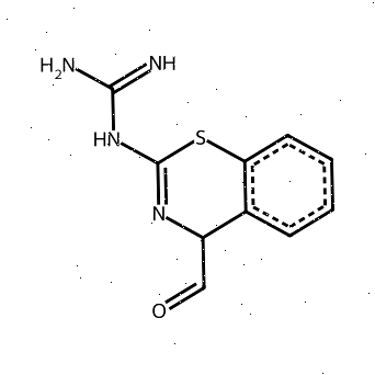 N=C(N)NC1=NC(C=O)c2ccccc2S1